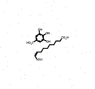 CCCCCCCC/C=C\CCCCCCCC(=O)O.O=C(O)c1cc(O)c(O)c(O)c1